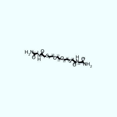 NC(=O)CNC(=O)CSCCOCCOCCSCC(=O)NCC(N)=O